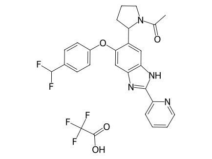 CC(=O)N1CCCC1c1cc2[nH]c(-c3ccccn3)nc2cc1Oc1ccc(C(F)F)cc1.O=C(O)C(F)(F)F